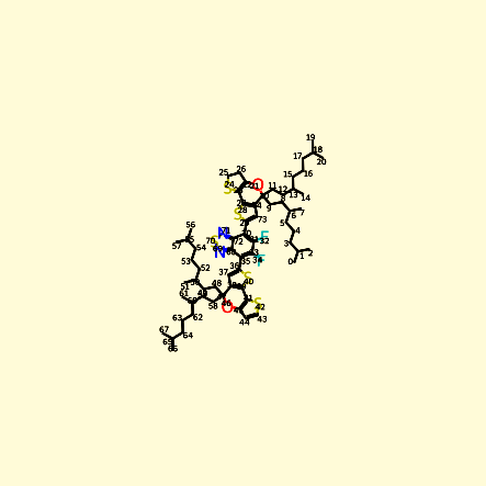 CC(C)CCCC(C)CCC1(CCC(C)CCCC(C)C)OC2=C(SCC2)c2sc(-c3c(F)c(F)c(-c4cc5c(s4)-c4sccc4OC5(CCC(C)CCCC(C)C)CCC(C)CCCC(C)C)c4nsnc34)cc21